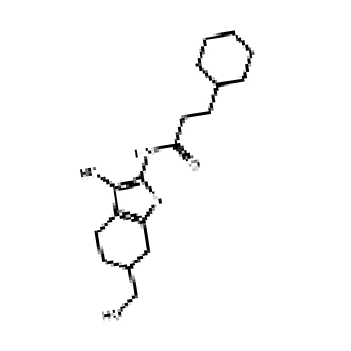 N#Cc1c(NC(=O)CCC2CCCCC2)sc2c1CCC(CO)C2